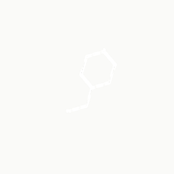 [CH2]CC1CC[CH]CC1